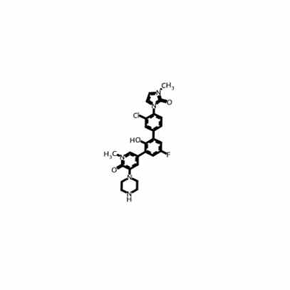 Cn1cc(-c2cc(F)cc(-c3ccc(-n4ccn(C)c4=O)c(Cl)c3)c2O)cc(N2CCNCC2)c1=O